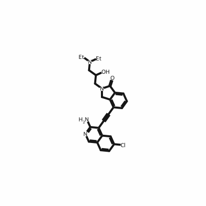 CCN(CC)CC(O)CN1Cc2c(C#Cc3c(N)ncc4ccc(Cl)cc34)cccc2C1=O